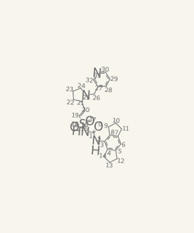 O=C(Nc1c2c(cc3c1CCC3)CCC2)NS(=O)(=O)C=CC1CCCN1Cc1cccnc1